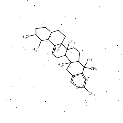 Cc1ncc2c(n1)C(C)(C)C1CCC3(C)C(CC=C4C5C(CCC(C)C5C)CCC43C)C1(C)C2